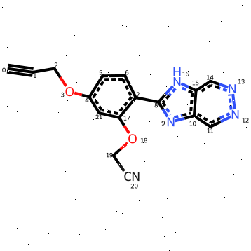 C#CCOc1ccc(-c2nc3cnncc3[nH]2)c(OCC#N)c1